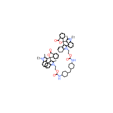 CCn1c(C)c(C2(c3c4c(n(CCOC(=O)NC5CCC(CC6CCC(NC(=O)OCCn7c(C)c(C8(c9c(C)n(CC)c%10ccccc9%10)OC(=O)c9ccccc98)c8ccccc87)CC6)CC5)c3C)CCC=C4)OC(=O)c3ccccc32)c2ccccc21